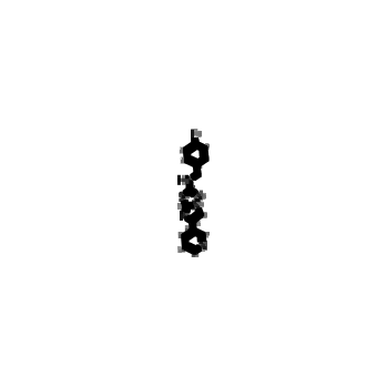 Fc1ccc(CNc2nn3cc(-c4cccnc4)nc3s2)cc1